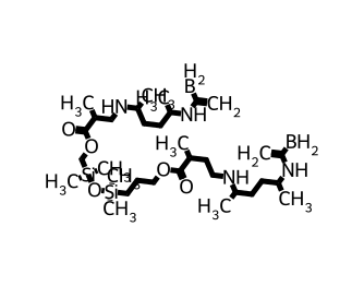 BC(=C)NC(C)CCC(C)NCCC(C)C(=O)OCCC[Si](C)(C)O[Si](C)(C)COC(=O)C(C)CNC(C)CCC(C)NC(B)=C